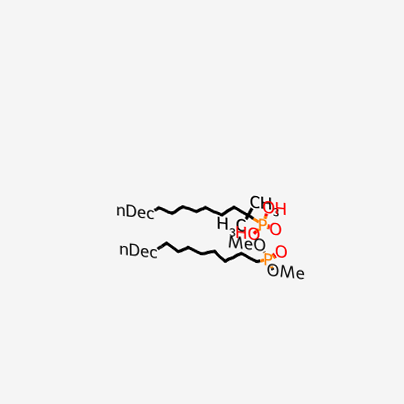 CCCCCCCCCCCCCCCCCC(C)(C)P(=O)(O)O.CCCCCCCCCCCCCCCCCCP(=O)(OC)OC